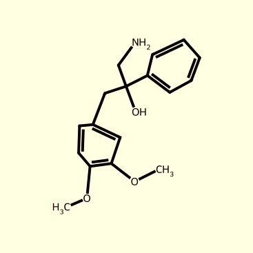 COc1ccc(CC(O)(CN)c2ccccc2)cc1OC